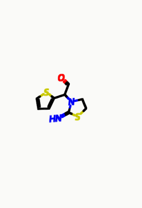 N=C1SCCN1C(C=O)c1cccs1